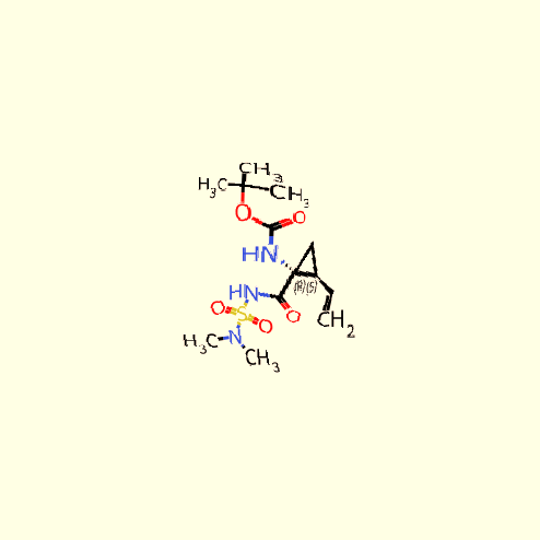 C=C[C@@H]1C[C@]1(NC(=O)OC(C)(C)C)C(=O)NS(=O)(=O)N(C)C